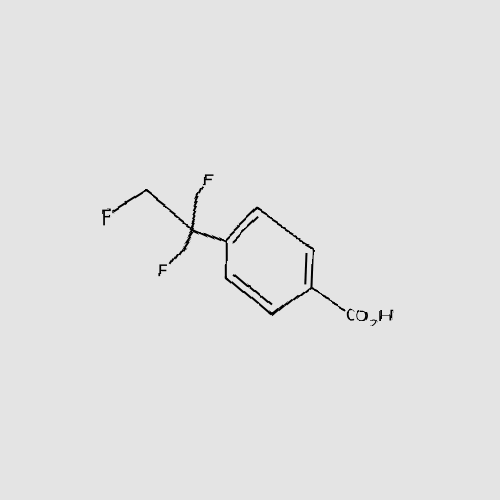 O=C(O)c1ccc(C(F)(F)CF)cc1